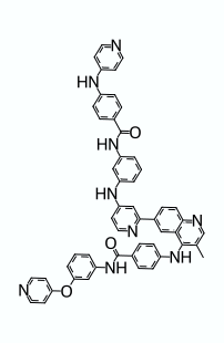 Cc1cnc2ccc(-c3cc(Nc4cccc(NC(=O)c5ccc(Nc6ccncc6)cc5)c4)ccn3)cc2c1Nc1ccc(C(=O)Nc2cccc(Oc3ccncc3)c2)cc1